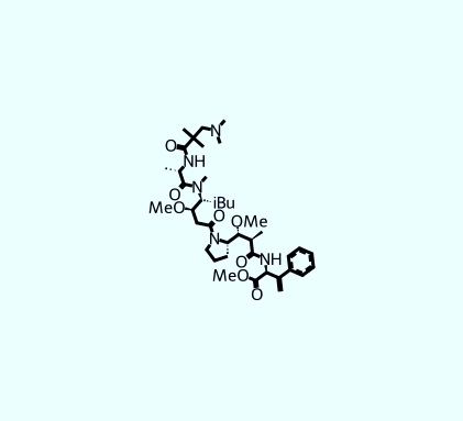 C=C(c1ccccc1)[C@H](NC(=O)[C@H](C)[C@@H](OC)[C@@H]1CCCN1C(=O)C[C@@H](OC)[C@H]([C@@H](C)CC)N(C)C(=O)[C@H](C)NC(=O)C(C)(C)CN(C)C)C(=O)OC